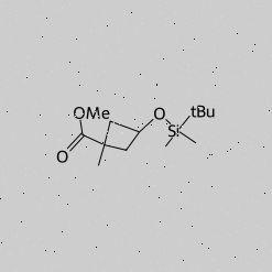 COC(=O)C1(C)CC(O[Si](C)(C)C(C)(C)C)C1